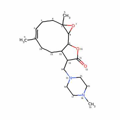 CC1=CCCC2(C)OC2C2OC(=O)C(CN3CCN(C)CC3)C2CC1